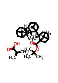 C=C(C)C(=O)O.CC(C)(C)OC(=O)C12CC(CCC1(C)C13CC(CCC1(C)C1(C)CCC4CC1C4(C)C)C3(C)C)C2(C)C